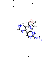 Nc1ncc(-c2ccncn2)c(N2CC3CC2CO3)n1